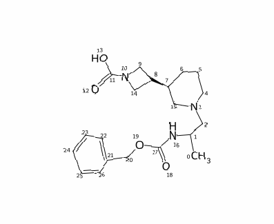 CC(CN1CCC[C@H](C2CN(C(=O)O)C2)C1)NC(=O)OCc1ccccc1